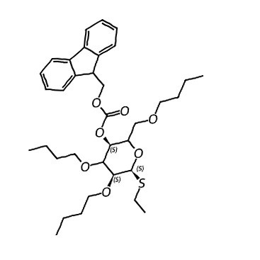 CCCCOCC1O[C@@H](SCC)[C@@H](OCCCC)C(OCCCC)[C@H]1OC(=O)OCC1c2ccccc2-c2ccccc21